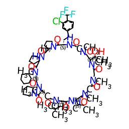 CC[C@H](C)[C@@H]1NC(=O)[C@H](CC(C)C)N(C)C(=O)C[C@@H](C(=O)N2CCCCC2)N(C)C(=O)[C@H](C2CCCCC2)N(C)C(=O)C2(CCCC2)NC(=O)[C@@H]2CCCN2C(=O)[C@H](CCc2ccc(C(F)(F)F)c(Cl)c2)NC(=O)CN(C)C(=O)[C@H]([C@@H](C)O)N(C)C(=O)CN(C)C(=O)CN(C)C1=O